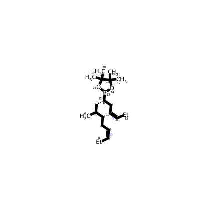 CC/C=C\CCC(C)C[C@@H](C/C=C\CC)B1OC(C)(C)C(C)(C)O1